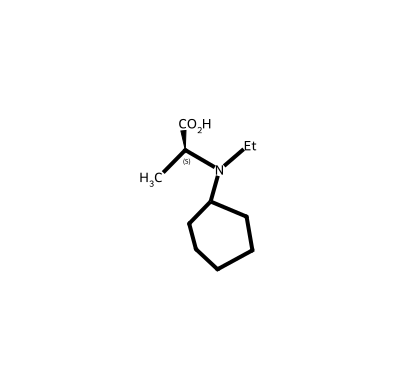 CCN(C1CCCCC1)[C@@H](C)C(=O)O